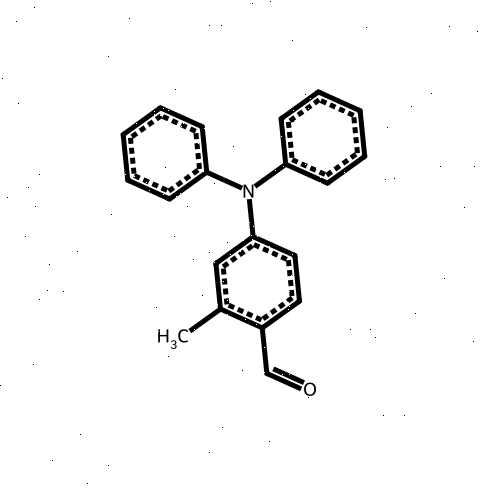 Cc1cc(N(c2ccccc2)c2ccccc2)ccc1C=O